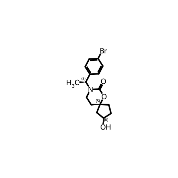 C[C@@H](c1ccc(Br)cc1)N1CC[C@]2(CC[C@@H](O)C2)OC1=O